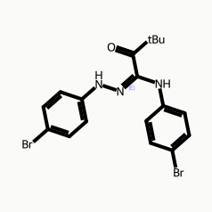 CC(C)(C)C(=O)/C(=N\Nc1ccc(Br)cc1)Nc1ccc(Br)cc1